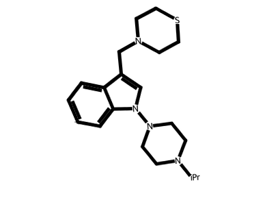 CC(C)N1CCN(n2cc(CN3CCSCC3)c3cc[c]cc32)CC1